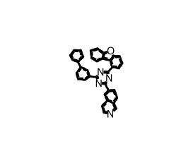 c1ccc(-c2cccc(-c3nc(-c4ccc5cnccc5c4)nc(-c4cccc5oc6ccccc6c45)n3)c2)cc1